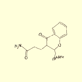 CCCCCCC1Oc2ccccc2C(=O)C1CCC(N)=O